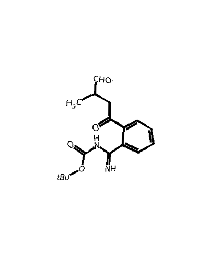 CC([C]=O)CC(=O)c1ccccc1C(=N)NC(=O)OC(C)(C)C